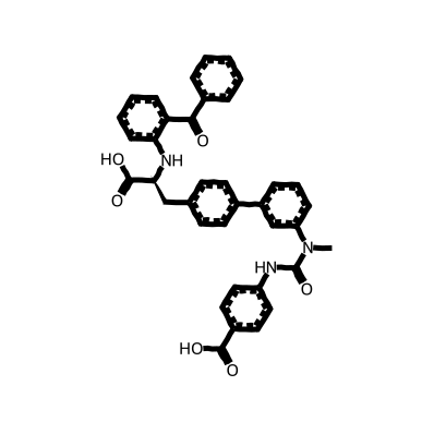 CN(C(=O)Nc1ccc(C(=O)O)cc1)c1cccc(-c2ccc(C[C@H](Nc3ccccc3C(=O)c3ccccc3)C(=O)O)cc2)c1